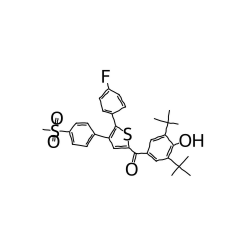 CC(C)(C)c1cc(C(=O)c2cc(-c3ccc(S(C)(=O)=O)cc3)c(-c3ccc(F)cc3)s2)cc(C(C)(C)C)c1O